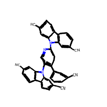 N#Cc1cccc(-c2cc(-n3c4cc(C#N)ccc4c4ccc(C#N)cc43)ncc2-n2c3cc(C#N)ccc3c3ccc(C#N)cc32)c1